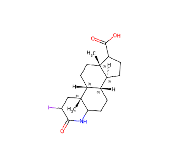 C[C@]12CC(I)C(=O)NC1CC[C@@H]1[C@H]2CC[C@]2(C)C(C(=O)O)CC[C@@H]12